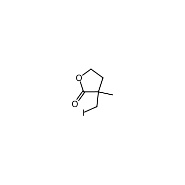 CC1(CI)CCOC1=O